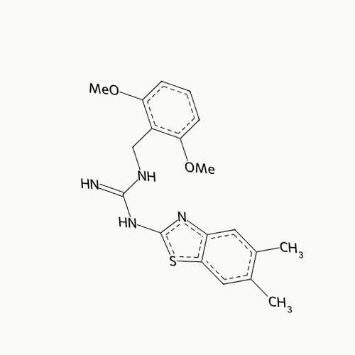 COc1cccc(OC)c1CNC(=N)Nc1nc2cc(C)c(C)cc2s1